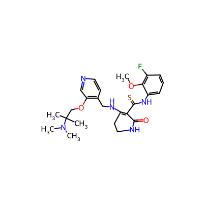 COc1c(F)cccc1NC(=S)C1=C(NCc2ccncc2OCC(C)(C)N(C)C)CCNC1=O